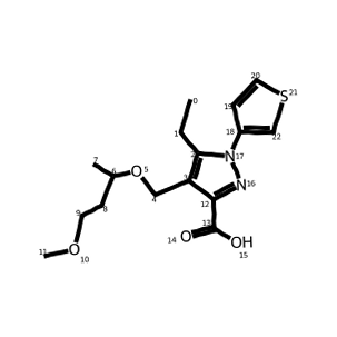 CCc1c(COC(C)CCOC)c(C(=O)O)nn1-c1ccsc1